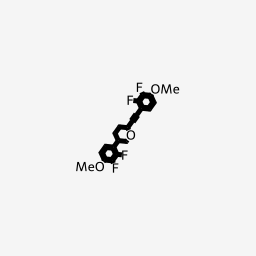 COc1ccc(C#CC2CCC(c3ccc(OC)c(F)c3F)CO2)c(F)c1F